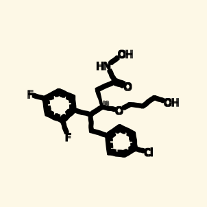 O=C(C[C@@H](OCCCO)C(Cc1ccc(Cl)cc1)c1ccc(F)cc1F)NO